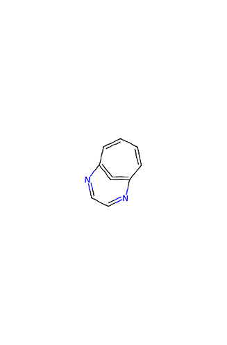 C1=C2C=CC=CC=1N=CC=N2